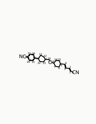 N#CC=CC=CC1CCC(OCC2CCC(c3ccc(C#N)cc3)CC2)CC1